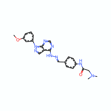 COc1cccc(-n2ncc3c(N/N=C/c4ccc(NC(=O)CN(C)C)cc4)ncnc32)c1